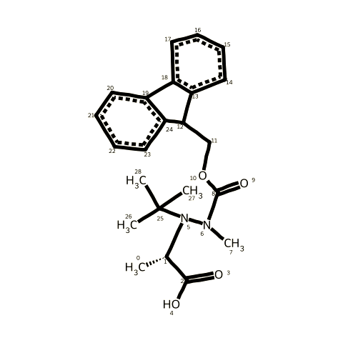 C[C@@H](C(=O)O)N(N(C)C(=O)OCC1c2ccccc2-c2ccccc21)C(C)(C)C